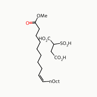 CCCCCCCC/C=C\CCCCCCCC(=O)OC.O=C(O)CC(C(=O)O)S(=O)(=O)O